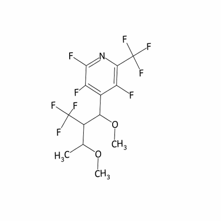 COC(C)C(C(OC)c1c(F)c(F)nc(C(F)(F)F)c1F)C(F)(F)F